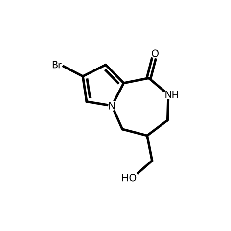 O=C1NCC(CO)Cn2cc(Br)cc21